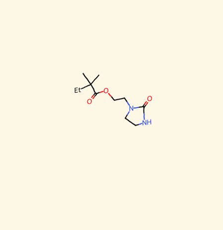 CCC(C)(C)C(=O)OCCN1CCNC1=O